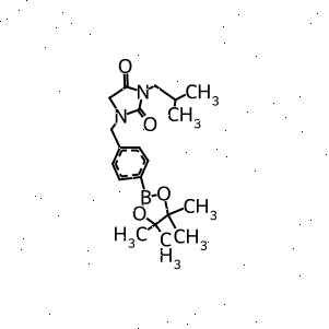 CC(C)CN1C(=O)CN(Cc2ccc(B3OC(C)(C)C(C)(C)O3)cc2)C1=O